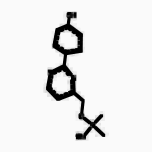 CC(C)(C)[Si](C)(C)OCc1ccnc(-c2ccc(O)cc2)n1